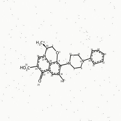 C[C@H]1COc2c(N3CCN(c4ccccc4)CC3)c(F)cc3c(=O)c(C(=O)O)cn1c23